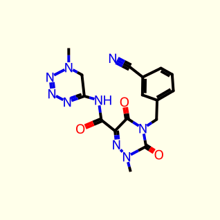 CN1CC(NC(=O)c2nn(C)c(=O)n(Cc3cccc(C#N)c3)c2=O)=NN=N1